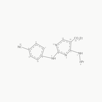 CCCNc1nc(Nc2ccc(C#N)cc2)ncc1C(=O)OCC